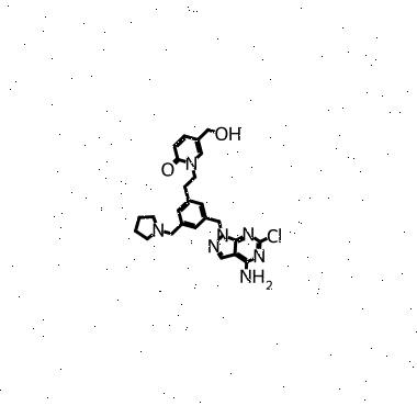 Nc1nc(Cl)nc2c1cnn2Cc1cc(CCn2cc(CO)ccc2=O)cc(CN2CCCC2)c1